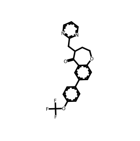 O=C1c2cc(-c3ccc(OC(F)(F)F)cc3)ccc2OCCC1Cc1ncccn1